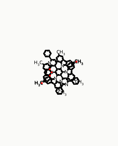 Cc1ccc2c(c1)c1cc(C)ccc1n2-c1c(-c2cc(-c3ccccc3)nc(-c3ccccc3)n2)c(-n2c3ccc(C)cc3c3cc(C)ccc32)c(-n2c3ccc(C)cc3c3cc(C)ccc32)c(-c2ccc(-c3ccccc3)nc2-c2ccccc2)c1-n1c2ccc(C)cc2c2cc(C)ccc21